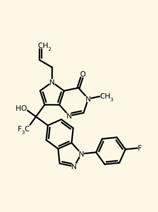 C=CCn1cc(C(O)(c2ccc3c(cnn3-c3ccc(F)cc3)c2)C(F)(F)F)c2ncn(C)c(=O)c21